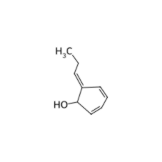 CCC=C1C=CC=CC1O